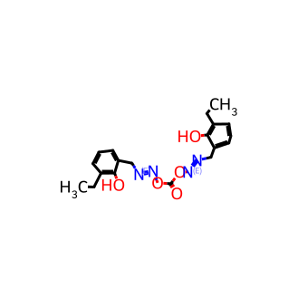 CCc1cccc(C/N=N/OC(=O)O/N=N/Cc2cccc(CC)c2O)c1O